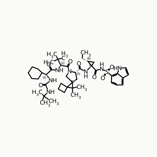 CC[C@@H]1C[C@]1(NC(=O)[C@@H]1C[C@@]2(CN1C(=O)[C@@H](NC(=O)[C@@H](NC(=O)NC(C)(C)C)C1CCCCC1)C(C)(C)C)C(C)(C)C21CCC1)C(=O)NS(=O)(=O)c1cccc2cc[nH]c12